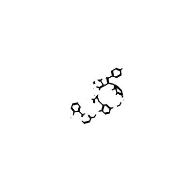 COc1ccccc1-c1nccc(COc2ccc3cc2C[C@H](C(=O)O)Oc2c4c(c(-c5ccc(F)cc5)sc4nc[n+]2[O-])-c2ccc(c(Cl)c2C)NCC3)n1